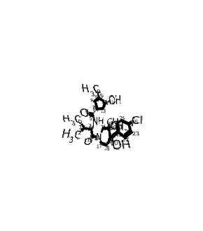 CC(C)[C@@H](NC(=O)[C@@H]1C[C@@H](C)[C@H](O)C1)C(=O)N1CC[C@](O)(c2ccc(Cl)cc2)C(C)(C)C1